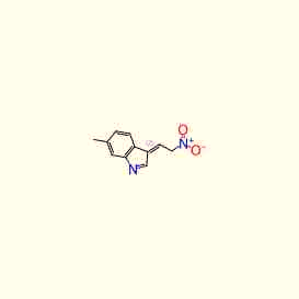 Cc1ccc2c(c1)N=C/C2=C\C[N+](=O)[O-]